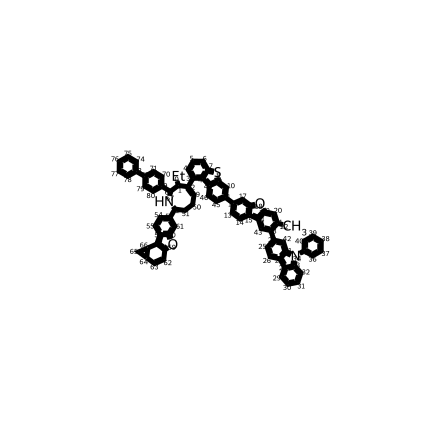 CCC1/C(c2cccc3sc4cc(-c5ccc6c(c5)oc5cc(C)c(-c7ccc8c9ccccc9n(-c9ccccc9)c8c7)cc56)ccc4c23)=C\CCC(c2ccc3c4c(oc3c2)C=CC2CC42)NC1c1ccc(-c2ccccc2)cc1